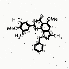 COc1c(C)cc(-c2nc3c(c(OC)cc4c(C)nn(Cc5ccccc5)c43)c(=O)[nH]2)cc1C